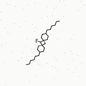 CCCCCCC1CC[C@]2(CC1)C[C@@]1(CCC(CCCCCC)CC1)C2F